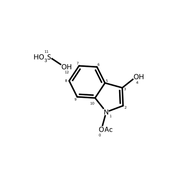 CC(=O)On1cc(O)c2ccccc21.O=S(=O)(O)O